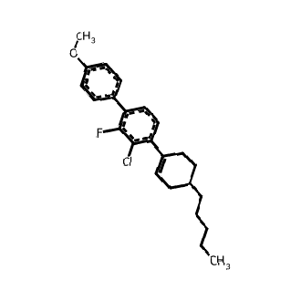 CCCCCC1CC=C(c2ccc(-c3ccc(OC)cc3)c(F)c2Cl)CC1